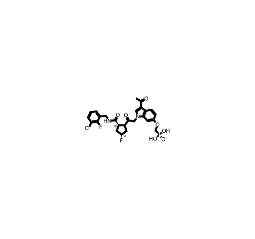 CC(=O)c1cn(CC(=O)C2C[C@H](F)C[C@H]2C(=O)NCc2cccc(Cl)c2F)c2cc(OCP(=O)(O)O)ccc12